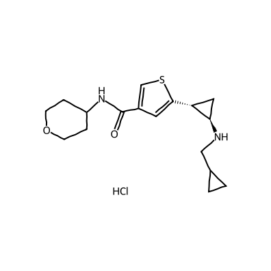 Cl.O=C(NC1CCOCC1)c1csc([C@@H]2C[C@H]2NCC2CC2)c1